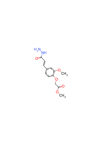 COC(=O)COc1ccc(C=CC(=O)NN)cc1OC